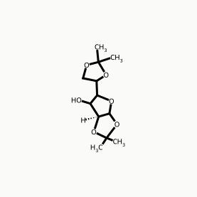 CC1(C)OCC(C2OC3OC(C)(C)O[C@H]3C2O)O1